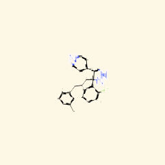 Cc1cccc(CCCC2(c3ccccc3F)N=NC=C2c2ccncc2)c1